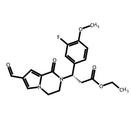 CCOC(=O)C[C@@H](c1ccc(OC)c(F)c1)N1CCn2cc(C=O)cc2C1=O